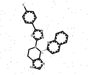 Fc1ccc(-c2nnc(N3CCc4[nH]cnc4[C@H]3c3ccc4ccccc4n3)o2)cc1